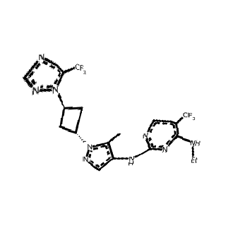 CCNc1nc(Nc2cnn([C@H]3C[C@H](n4ncnc4C(F)(F)F)C3)c2C)ncc1C(F)(F)F